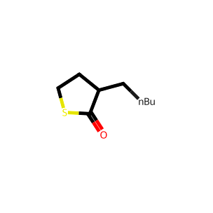 CCCCCC1CCSC1=O